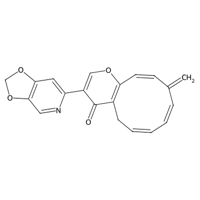 C=C1/C=C\C=C/Cc2c(occ(-c3cc4c(cn3)OCO4)c2=O)/C=C\1